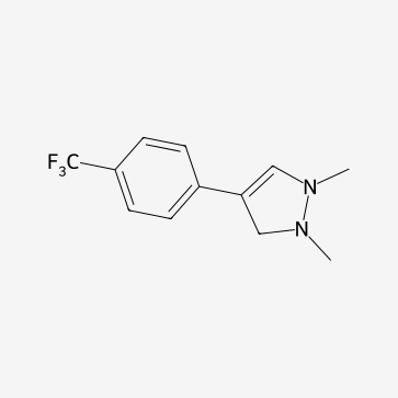 CN1C=C(c2ccc(C(F)(F)F)cc2)CN1C